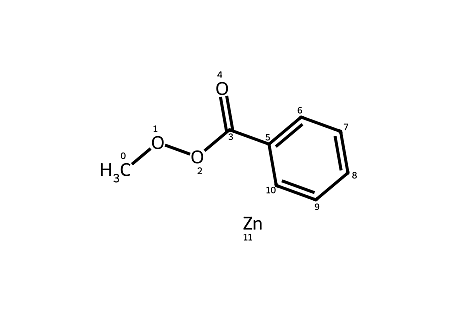 COOC(=O)c1ccccc1.[Zn]